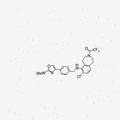 CNc1nc(-c2ccc(CNc3c(Cl)ccc4c3CCN(C(=O)C(F)(F)F)CC4)cc2)co1